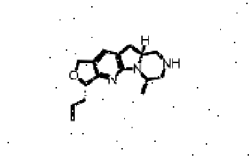 CCC[C@@H]1OCc2cc3c(nc21)N1C(C)CNC[C@H]1C3